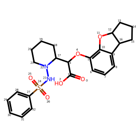 O=C(O)C(Oc1cccc2c1OC1CCCC21)C1CCCCN1NS(=O)(=O)c1ccccc1